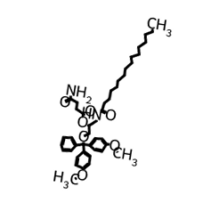 CCCCCCCCCCCCCCCC(=O)NCC(COC(c1ccccc1)(c1ccc(OC)cc1)c1ccc(OC)cc1)OC(=O)CCC(N)=O